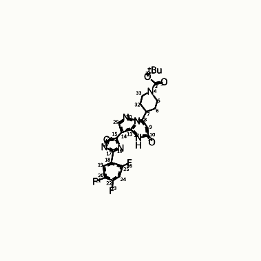 CC(C)(C)OC(=O)N1CCC(c2cc(=O)[nH]c3c(-c4nc(-c5cc(F)c(F)cc5F)no4)cnn23)CC1